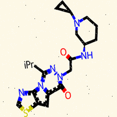 CC(C)c1nn(CC(=O)N[C@@H]2CCCN(C3CC3)C2)c(=O)c2cc3scnc3n12